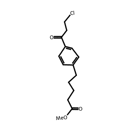 COC(=O)CCCCc1ccc(C(=O)CCCl)cc1